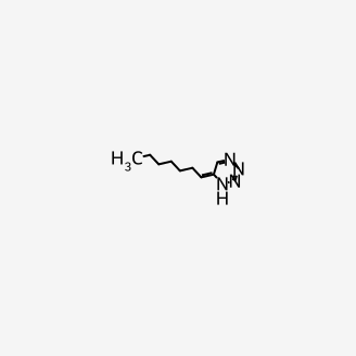 CCCCCCC=C1C=NN=NN1